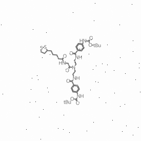 CC(C)(C)OC(=O)Nc1ccc(C(=O)NCCN(CCNC(=O)c2ccc(NC(=O)OC(C)(C)C)cc2)C(=O)CNC(=O)CCCCC2CCSS2)cc1